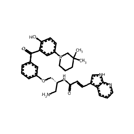 CC1(C)CCCN(c2ccc(O)c(C(=O)c3cccc(OC[C@@H](CN)NC(=O)/C=C/c4c[nH]c5ncccc45)c3)c2)C1